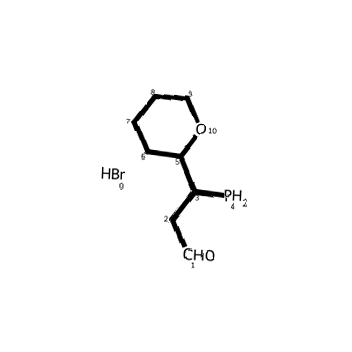 Br.O=CCC(P)C1CCCCO1